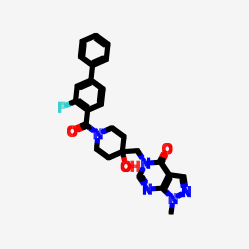 Cn1ncc2c(=O)n(CC3(O)CCN(C(=O)c4ccc(-c5ccccc5)cc4F)CC3)cnc21